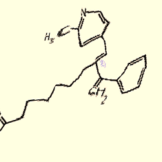 C=C(/C(=C/c1ccnc(C)c1)CCCCCCC(=O)O)c1ccccc1